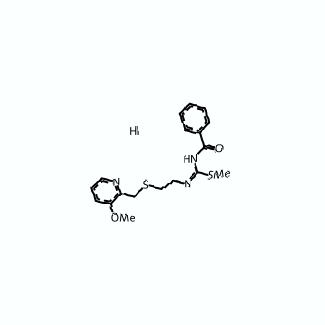 COc1cccnc1CSCCN=C(NC(=O)c1ccccc1)SC.I